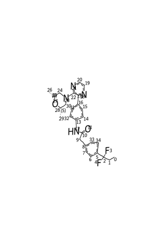 CCC(F)(F)c1ccc(CC(=O)Nc2ccc(-c3nccnc3N3C[C@@H](C)O[C@@H](C)C3)cc2)cc1